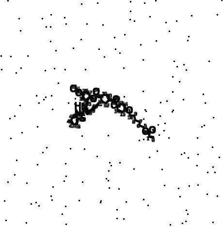 C=CC(=O)OCCCCCCOc1ccc(OC(=O)C2CCC(C(=O)Oc3ccc(OC=O)cc3/C=N/N(CC#CC)C3Nc4ccccc4S3)CC2)cc1